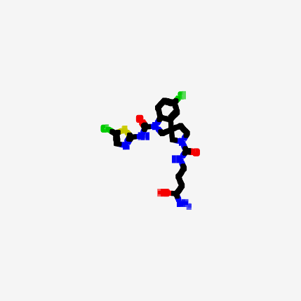 NC(O)CCCNC(=O)N1CCC2(C1)CN(C(=O)Nc1ncc(Cl)s1)C1CC=C(Cl)C=C12